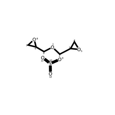 C(OCC1CO1)C1CO1.O=S(=O)=O